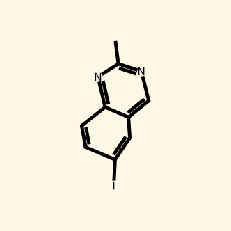 Cc1ncc2cc(I)ccc2n1